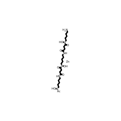 CC(=O)N(O)CCCCCNC(=O)CCC(=O)N(O)CCCCCNC(=O)CCC(=O)N(O)CCCCCN.[Zn]